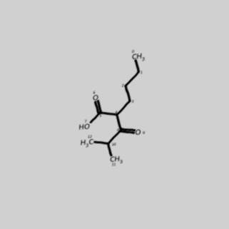 CCCCC(C(=O)O)C(=O)C(C)C